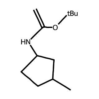 C=C(NC1CCC(C)C1)OC(C)(C)C